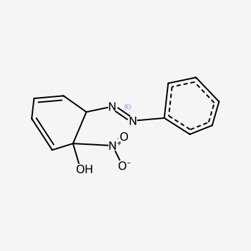 O=[N+]([O-])C1(O)C=CC=CC1/N=N/c1ccccc1